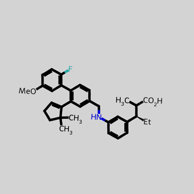 CC[C@@H](c1cccc(NCc2ccc(-c3cc(OC)ccc3F)c(C3=CCCC3(C)C)c2)c1)C(C)C(=O)O